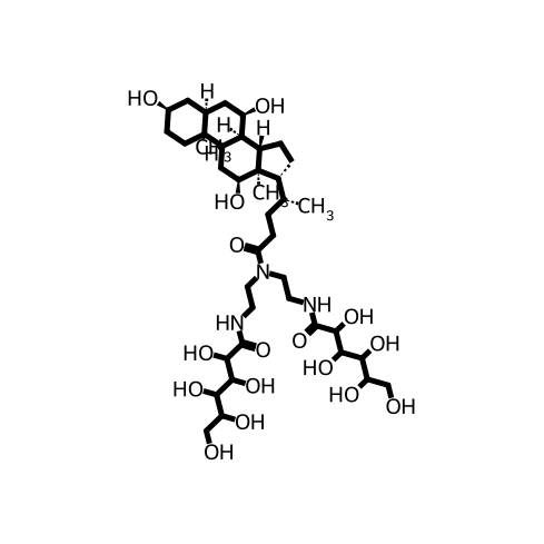 C[C@H](CCC(=O)N(CCNC(=O)C(O)C(O)C(O)C(O)CO)CCNC(=O)C(O)C(O)C(O)C(O)CO)[C@H]1CC[C@H]2[C@@H]3[C@H](O)C[C@@H]4C[C@H](O)CC[C@]4(C)[C@H]3C[C@H](O)[C@]12C